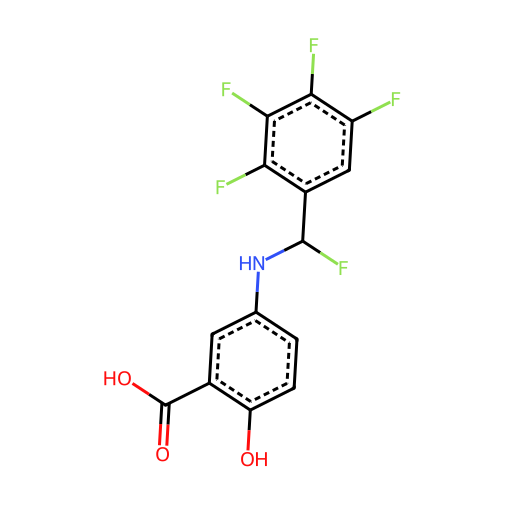 O=C(O)c1cc(NC(F)c2cc(F)c(F)c(F)c2F)ccc1O